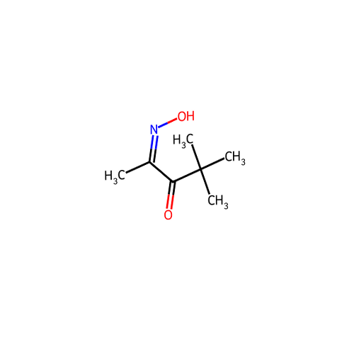 CC(=NO)C(=O)C(C)(C)C